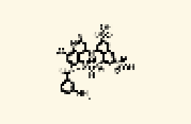 COc1cc(NC(=O)c2cccc(N)c2)c(OC)c2c(Nc3cc(S(=O)(=O)O)cc4cc(S(=O)(=O)O)cc(S(=O)(=O)O)c34)cc(C)nc12